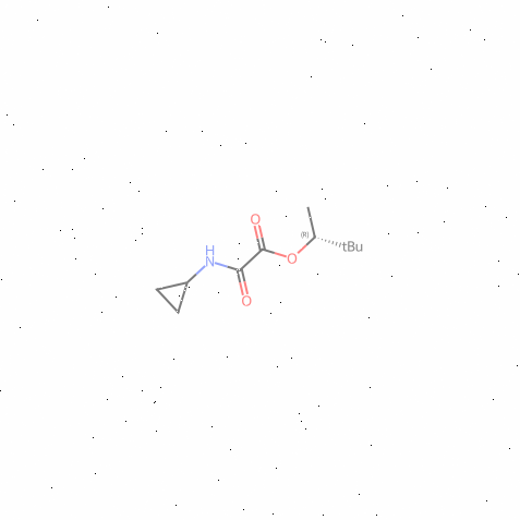 C[C@@H](OC(=O)C(=O)NC1CC1)C(C)(C)C